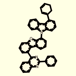 C1=CCCC(c2cccc3c2c2ccccc2n3-c2cccc3c2oc2cccc(-c4nc(-c5ccccc5)nc5ccccc45)c23)=C1